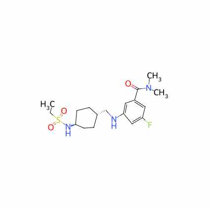 CCS(=O)(=O)N[C@H]1CC[C@H](CNc2cc(F)cc(C(=O)N(C)C)c2)CC1